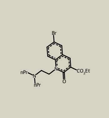 CCCN(CCC)CCn1c(=O)c(C(=O)OCC)cc2cc(Br)ccc21